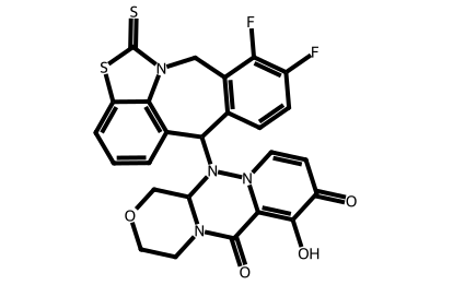 O=C1c2c(O)c(=O)ccn2N(C2c3ccc(F)c(F)c3Cn3c(=S)sc4cccc2c43)C2COCCN12